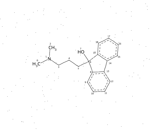 CN(C)CCCC1(O)c2ccccc2-c2ccccc21